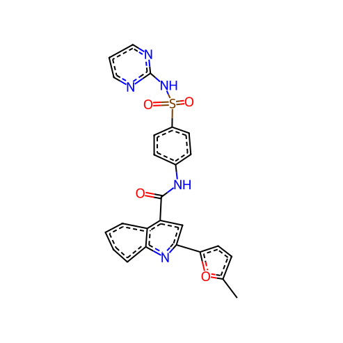 Cc1ccc(-c2cc(C(=O)Nc3ccc(S(=O)(=O)Nc4ncccn4)cc3)c3ccccc3n2)o1